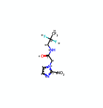 O=C(Cn1ccnc1[N+](=O)[O-])NCC(F)(F)C(F)(F)F